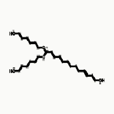 OCC/C=C/CCCCCCCCC(OCCCCCCO)OCCCCCCO